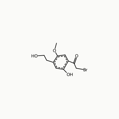 COc1cc(C(=O)CBr)c(O)cc1CCO